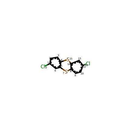 Clc1ccc2c(c1)Sc1ccc(Cl)cc1S2